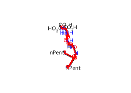 CCCCC/C=C\C/C=C\CCCCCCCCC1(CCCCCCCC/C=C\C/C=C\CCCCC)OCC(CCN(C)CCCCCC(=O)NCC(C)(CC)OCC(C)(C)OCCNC(=O)C(C)(C)COC(C)(C)CC(=O)NCCCC[C@@H](NC(=O)N[C@H](CCC(=O)O)C(=O)O)C(=O)O)O1